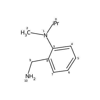 CC(C)N(C)c1ccccc1CN